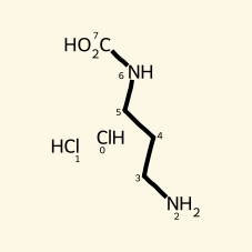 Cl.Cl.NCCCNC(=O)O